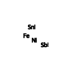 [Fe].[Ni].[Sb].[Sn]